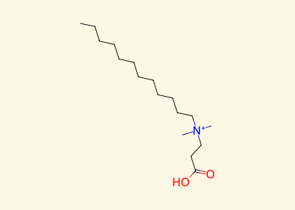 CCCCCCCCCCCC[N+](C)(C)CCC(=O)O